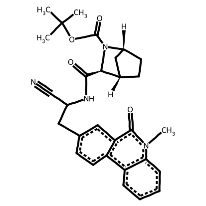 Cn1c(=O)c2cc(CC(C#N)NC(=O)[C@@H]3[C@H]4CC[C@H](C4)N3C(=O)OC(C)(C)C)ccc2c2ccccc21